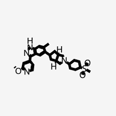 COc1cc(-c2n[nH]c3cc(C)c(C4C[C@@H]5CN(C6CCC(S(C)(=O)=O)CC6)C[C@@H]5C4)cc23)ccn1